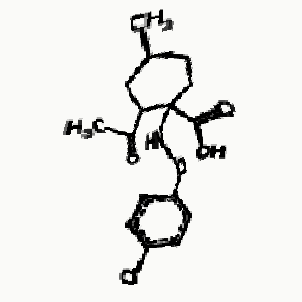 CC(=O)C1CC(C)CCC1(NOc1ccc(Cl)cc1)C(=O)O